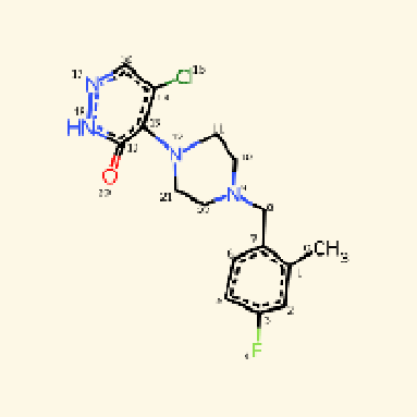 Cc1cc(F)ccc1CN1CCN(c2c(Cl)cn[nH]c2=O)CC1